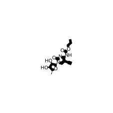 C#Cc1cn([C@@H]2O[C@H](C)[C@@H](O)[C@H]2O)c(=O)nc1NC(=O)OCCC